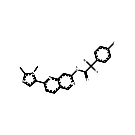 [2H]C([2H])(C(=O)Nc1cc2nc(-c3cnc(C)n3C)ccc2cn1)c1ccc(F)cc1